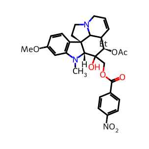 CC[C@]12C=CCN3CC[C@@]4(c5ccc(OC)cc5N(C)[C@H]4C(O)(COC(=O)c4ccc([N+](=O)[O-])cc4)[C@@H]1OC(C)=O)C32